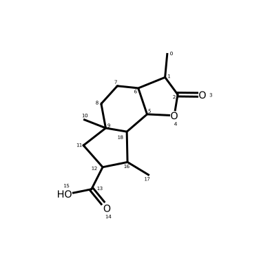 CC1C(=O)OC2C1CCC1(C)CC(C(=O)O)C(C)C21